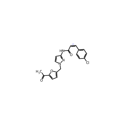 CC(=O)c1ccc(Cn2ccc(NC(=O)/C=C\c3ccc(Cl)cc3)n2)o1